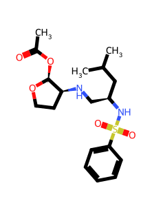 CC(=O)O[C@@H]1OCC[C@@H]1NC[C@@H](CC(C)C)NS(=O)(=O)c1ccccc1